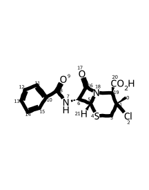 C[C@@]1(Cl)CS[C@@H]2[C@H](NC(=O)c3ccccc3)C(=O)N2[C@H]1C(=O)O